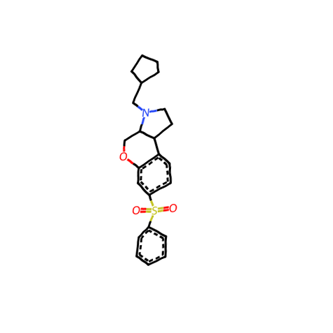 O=S(=O)(c1ccccc1)c1ccc2c(c1)OCC1C2CCN1CC1CCCC1